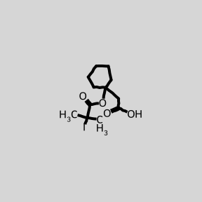 CC(C)(I)C(=O)OC1(CC(=O)O)CCCCC1